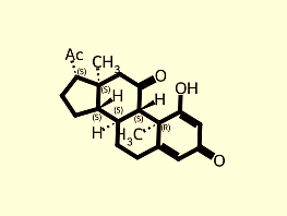 CC(=O)[C@H]1CC[C@H]2[C@@H]3CCC4=CC(=O)C=C(O)[C@]4(C)[C@H]3C(=O)C[C@]12C